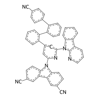 N#Cc1ccc(-c2ccccc2-c2ccccc2-c2cc(-n3c4ccc(C#N)cc4c4cc(C#N)ccc43)nc(-n3c4ccccc4c4cccnc43)c2)cc1